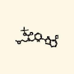 COCCN(Cc1cccc(-c2cc3cccc(Cl)c3s2)n1)C(=O)OC(C)(C)C